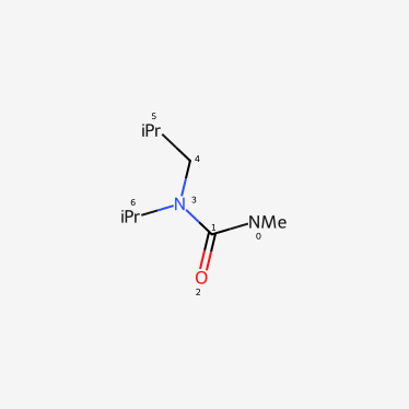 CNC(=O)N(CC(C)C)C(C)C